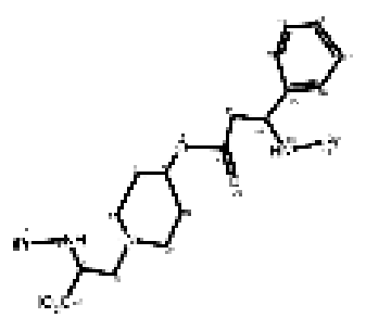 CC(C)NC(CN1CCC(OC(=O)CC(NC(C)C)c2ccccc2)CC1)C(=O)O